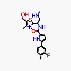 CNCC(NC(=O)c1ccc(-c2ccc(C)c(F)c2)[nH]1)c1nc(C)c(CO)s1